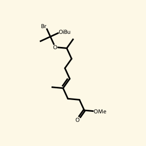 COC(=O)CCC(C)=CCCC(C)OC(C)(Br)OCC(C)C